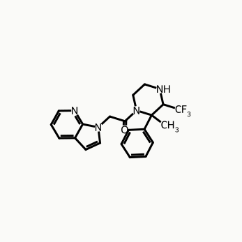 CC1(c2ccccc2)C(C(F)(F)F)NCCN1C(=O)Cn1ccc2cccnc21